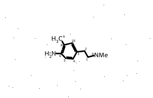 CNCCc1ccc(N)c(C)c1